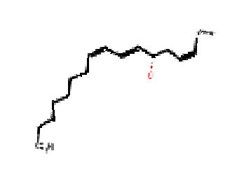 CCCCC/C=C\C[C@H](O)/C=C/C=C\CCCCCCC(=O)O